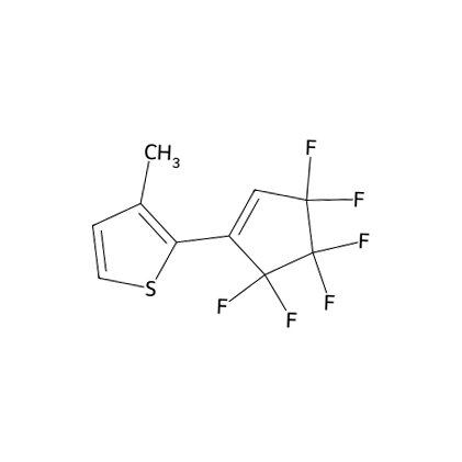 Cc1ccsc1C1=CC(F)(F)C(F)(F)C1(F)F